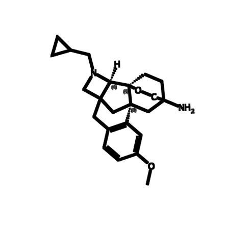 COc1ccc2c(c1)[C@@]13CC4(N)CC[C@@]1(OC4)[C@@H]1N(CC4CC4)CC1(C2)C3